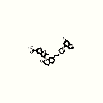 Cc1nc2ccc(C(=O)O)cc2cc1N1C(=O)CCc2ccc(CCN3CCN(c4cc(F)cc5sccc45)CC3)cc21